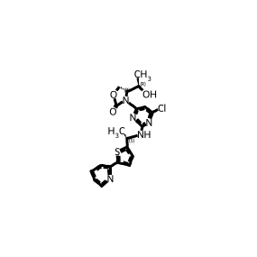 C[C@H](Nc1nc(Cl)cc(N2C(=O)OC[C@@H]2[C@@H](C)O)n1)c1ccc(-c2ccccn2)s1